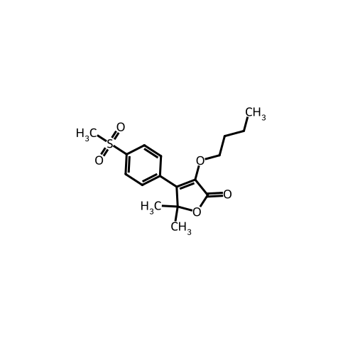 CCCCOC1=C(c2ccc(S(C)(=O)=O)cc2)C(C)(C)OC1=O